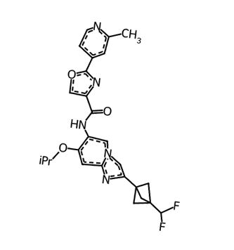 Cc1cc(-c2nc(C(=O)Nc3cn4cc(C56CC(C(F)F)(C5)C6)nc4cc3OC(C)C)co2)ccn1